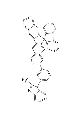 Cc1nc2ccccc2n1-c1cccc(-c2ccc3cc4c(cc3c2)C2(c3ccccc3-c3ccccc32)c2cc3ccccc3cc2-4)c1